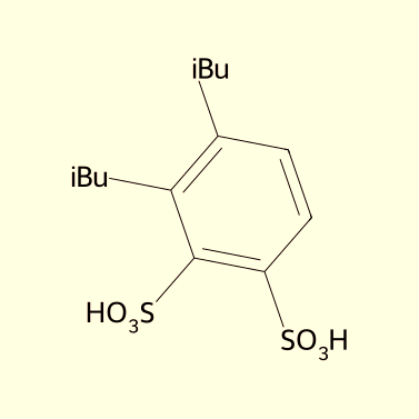 CCC(C)c1ccc(S(=O)(=O)O)c(S(=O)(=O)O)c1C(C)CC